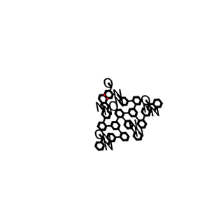 Cn1ccc(-c2ccccc2-c2cc(-c3ccccc3-c3ccn4c(=O)c5ccccc5nc4c3)cc(-c3cccc(-c4cc(-c5ccccc5-c5ccn6c(=O)c7ccccc7nc6c5)cc(-c5ccccc5-c5ccn6c(=O)c7ccccc7nc6c5)c4)c3-c3ccc(-c4ccccn4)nc3)c2)c/c1=N/c1ccccc1C=O